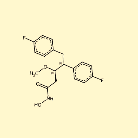 CO[C@H](CC(=O)NO)[C@H](Cc1ccc(F)cc1)c1ccc(F)cc1